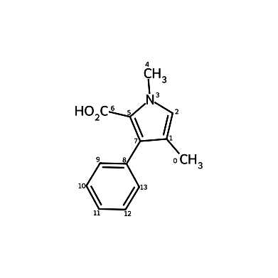 Cc1cn(C)c(C(=O)O)c1-c1ccccc1